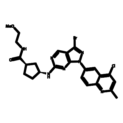 COCCNC(=O)[C@@H]1CC[C@@H](Nc2ncc3c(Br)nn(-c4ccc5nc(C)cc(Cl)c5c4)c3n2)C1